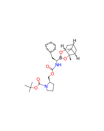 CC(C)(C)OC(=O)N1CCC[C@@H]1COC(=O)N[C@@H](Cc1ccccc1)B1O[C@@H]2C[C@@H]3C[C@@H](C3(C)C)[C@]2(C)O1